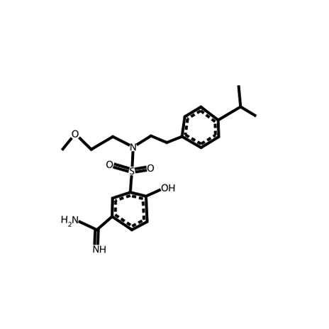 COCCN(CCc1ccc(C(C)C)cc1)S(=O)(=O)c1cc(C(=N)N)ccc1O